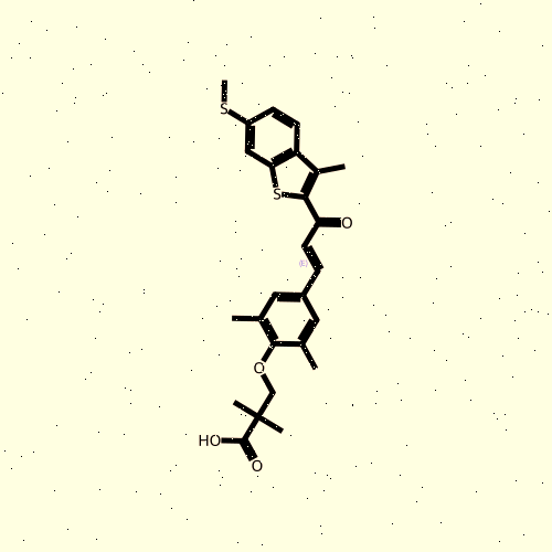 CSc1ccc2c(C)c(C(=O)/C=C/c3cc(C)c(OCC(C)(C)C(=O)O)c(C)c3)sc2c1